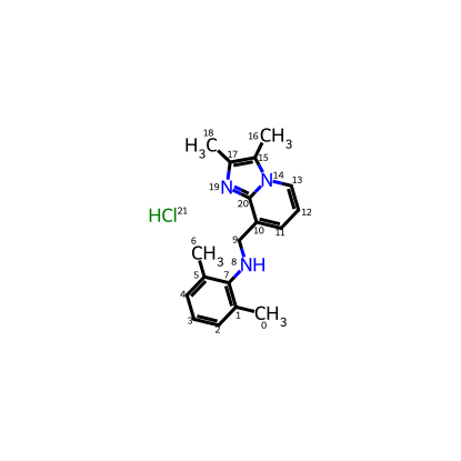 Cc1cccc(C)c1NCc1cccn2c(C)c(C)nc12.Cl